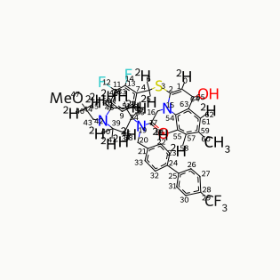 [2H]C1=C(SC([2H])([2H])c2cccc(F)c2F)N(CC(=O)N(Cc2ccc(-c3ccc(C(F)(F)F)cc3)cc2)C2([2H])C([2H])([2H])C([2H])([2H])N(CC([2H])([2H])OC)C([2H])([2H])C2([2H])[2H])c2c([2H])c([2H])c(C)c([2H])c2C1O